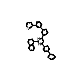 c1ccc(-c2ccc(-c3cc(-c4cccc(-c5cccc(-c6cccnc6)c5)c4)nc(-c4cccc5ccccc45)n3)cc2)cc1